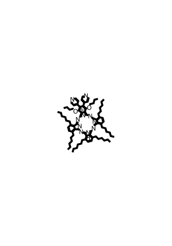 CCCCCCc1ccc(CCCCCC)c2c1-c1nc-2nc2[nH]c(nc3nc(nc4[nH]c(n1)c1c(CCCCCC)ccc(CCCCCC)c41)-c1c(CCCCCC)ccc(CCCCCC)c1-3)c1c(OCCCC)c(-c3ccncc3)c(-c3ccncc3)c(OCCCC)c21